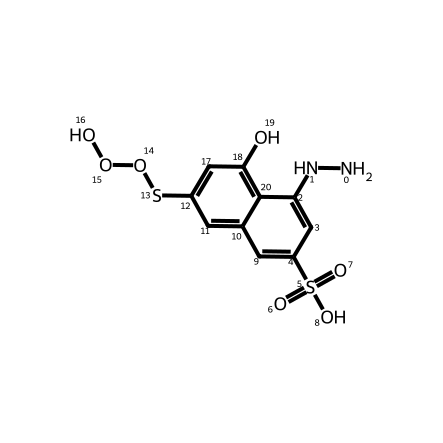 NNc1cc(S(=O)(=O)O)cc2cc(SOOO)cc(O)c12